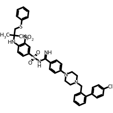 CC(C)(CSc1ccccc1)Nc1ccc(S(=O)(=O)NC(=N)c2ccc(N3CCN(Cc4ccccc4-c4ccc(Cl)cc4)CC3)cc2)cc1[N+](=O)[O-]